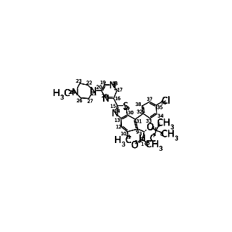 CC(=O)[C@@H](OC(C)(C)C)c1c(C)cc2nc(-c3cncc(N4CCN(C)CC4)n3)sc2c1-c1ccc(Cl)cc1